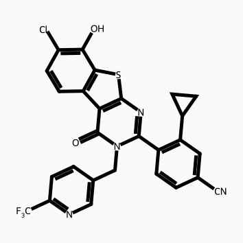 N#Cc1ccc(-c2nc3sc4c(O)c(Cl)ccc4c3c(=O)n2Cc2ccc(C(F)(F)F)nc2)c(C2CC2)c1